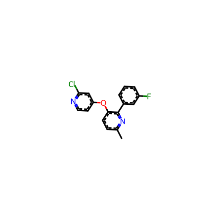 Cc1ccc(Oc2ccnc(Cl)c2)c(-c2cccc(F)c2)n1